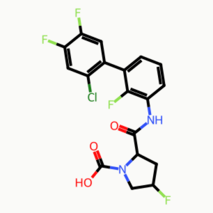 O=C(Nc1cccc(-c2cc(F)c(F)cc2Cl)c1F)C1CC(F)CN1C(=O)O